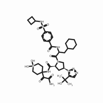 CC(C)(O)c1cnnn1[C@H]1C[C@@H](C(=O)NC2(C(=O)C(N)=O)CCS(O)(O)CC2)N(C(=O)C(CC2CCCCC2)NC(=O)c2ccc(S(=O)(=O)NC3CCC3)cc2)C1